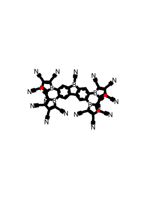 N#CB1c2cc(B3C(C#N)=C(C#N)C(C#N)=C3C#N)c(B3C(C#N)=C(C#N)C(C#N)=C3C#N)cc2-c2cc(B3C(C#N)=C(C#N)C(C#N)=C3C#N)c(B3C(C#N)=C(C#N)C(C#N)=C3C#N)cc21